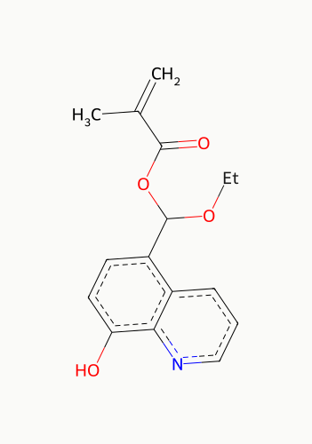 C=C(C)C(=O)OC(OCC)c1ccc(O)c2ncccc12